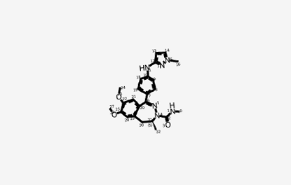 CNC(=O)N1N=C(c2ccc(Nc3ccn(C)n3)cc2)c2cc(OC)c(OC)cc2C[C@@H]1C